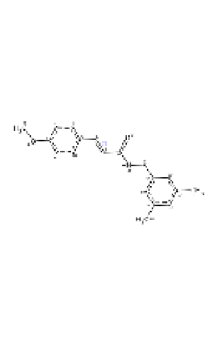 COc1ccc(/C=C/C(=O)NCc2cc(C)cc(C)c2)cc1